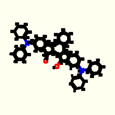 O=c1c2cc(N(C3=CC=CCC3)c3ccccc3)ccc2c2c3ccccc3c3c4ccc(N(C5=CC=CCC5)c5ccccc5)cc4c(=O)c3c12